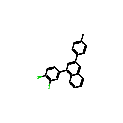 Cc1ccc(-c2[c]c(-c3ccc(Cl)c(Cl)c3)c3ccccc3c2)cc1